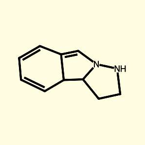 C1=CC2=CN3NCCC3C2C=C1